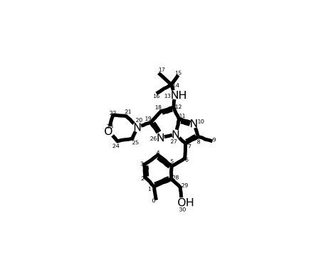 Cc1cccc(Cc2c(C)nc3c(NC(C)(C)C)cc(N4CCOCC4)nn23)c1CO